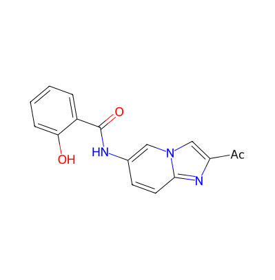 CC(=O)c1cn2cc(NC(=O)c3ccccc3O)ccc2n1